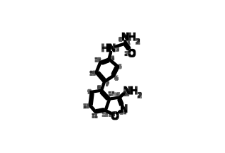 NC(=O)Nc1ccc(-c2cccc3onc(N)c23)cc1